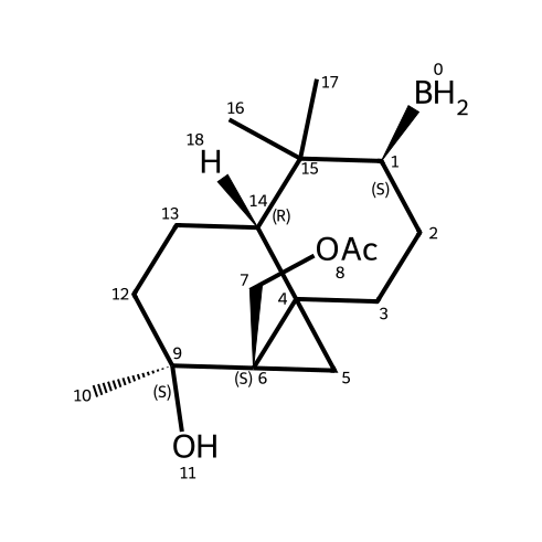 B[C@H]1CCC23C[C@]2(COC(C)=O)[C@@](C)(O)CC[C@@H]3C1(C)C